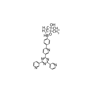 CC(C)(O)C(C)(C)OBc1ccc(-c2ccc(-c3nc(-c4cccnc4)nc(-c4cccnc4)n3)cn2)cc1